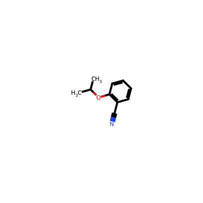 CC(C)Oc1ccc[c]c1C#N